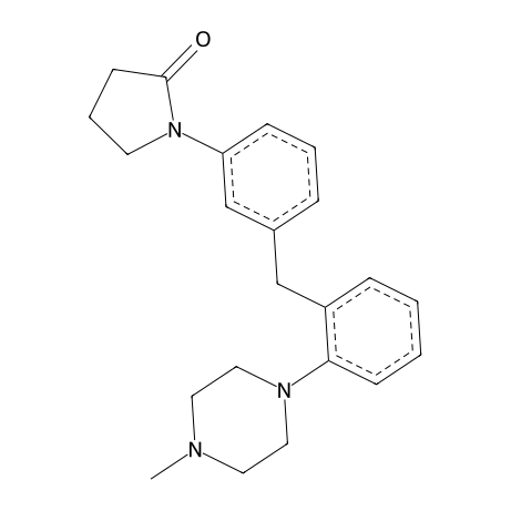 CN1CCN(c2ccccc2Cc2cccc(N3CCCC3=O)c2)CC1